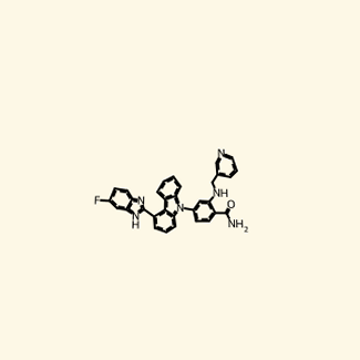 NC(=O)c1ccc(-n2c3ccccc3c3c(-c4nc5ccc(F)cc5[nH]4)cccc32)cc1NCc1cccnc1